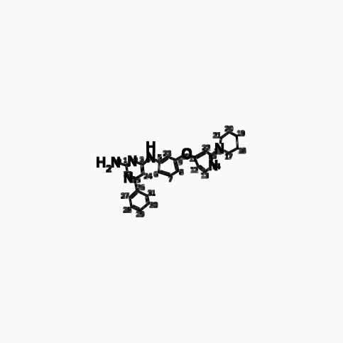 Nc1nc(Nc2cccc(Oc3ccnc(N4CCCCC4)c3)c2)cc(-c2ccccc2)n1